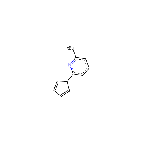 CC(C)(C)c1cccc(C2C=CC=C2)n1